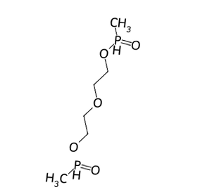 C[PH](=O)OCCOCCO[PH](C)=O